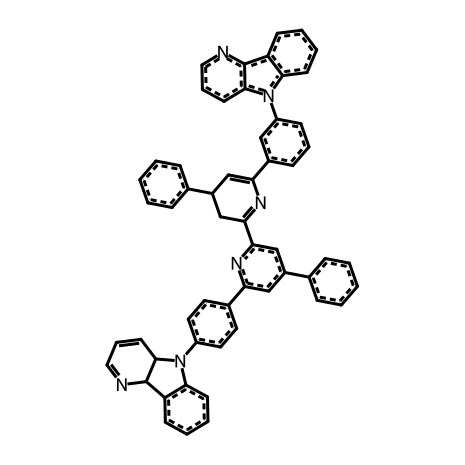 C1=CC2C(N=C1)c1ccccc1N2c1ccc(-c2cc(-c3ccccc3)cc(C3=NC(c4cccc(-n5c6ccccc6c6ncccc65)c4)=CC(c4ccccc4)C3)n2)cc1